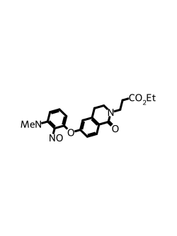 CCOC(=O)CCN1CCc2cc(Oc3cccc(NC)c3N=O)ccc2C1=O